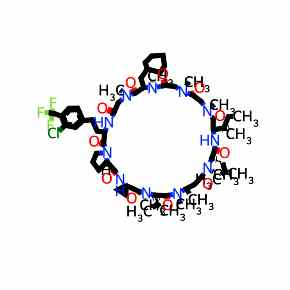 CC[C@H](C)C1NC(=O)[C@H](CC(C)C)N(C)C(=O)CC(C)N(C)C(=O)[C@H](C(C)C)N(C)C(=O)C2(CC2)NC(=O)[C@@H]2CCCN2C(=O)C(CCc2ccc(C(F)(F)F)c(Cl)c2)NC(=O)CN(C)C(=O)C(CC2CCCCC2)N(C)C(=O)CN(C)C(=O)CN(C)C1=O